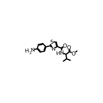 COC(=O)C(NC(=O)c1csc(-c2ccc(N)cc2)n1)C(C)C